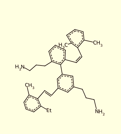 CCc1cccc(C)c1C=Cc1cc(CCCN)cc(-c2c(/C=C\c3c(C)cccc3C)cccc2CCCN)c1